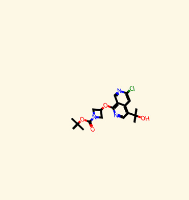 CC(C)(C)OC(=O)N1CC(Oc2ncc(C(C)(C)O)c3cc(Cl)ncc23)C1